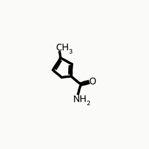 CC1=CCC(C(N)=O)=C1